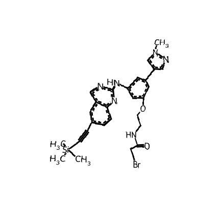 Cn1cc(-c2cc(Nc3ncc4cc(C#C[Si](C)(C)C)ccc4n3)cc(OCCNC(=O)CBr)c2)cn1